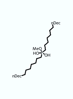 CCCCCCCCCCCCCCCCCP(O)(O)(CCCCCCCCCCCCCCCCC)OC